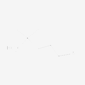 CC(=O)CCCC(C)(C)C(=O)O